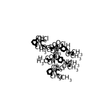 CN(C)C(=O)Nc1ccc(-n2nc(C(C)(C)C)oc2=O)c(Cl)c1.CN(C)C(=O)Nc1ccc(-n2nc(C(C)(C)C)oc2=O)c(Cl)c1.COCCN(C(=O)CCl)c1c(C)cccc1C.COCCN(C(=O)CCl)c1c(C)cccc1C